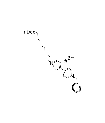 CCCCCCCCCCCCCCCCCC[n+]1ccc(-c2cc[n+](Cc3ccccc3)cc2)cc1.[Br-].[Br-]